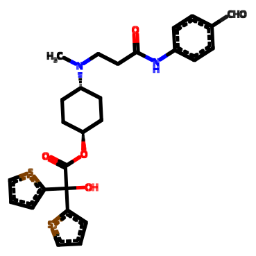 CN(CCC(=O)Nc1ccc(C=O)cc1)[C@H]1CC[C@H](OC(=O)C(O)(c2cccs2)c2cccs2)CC1